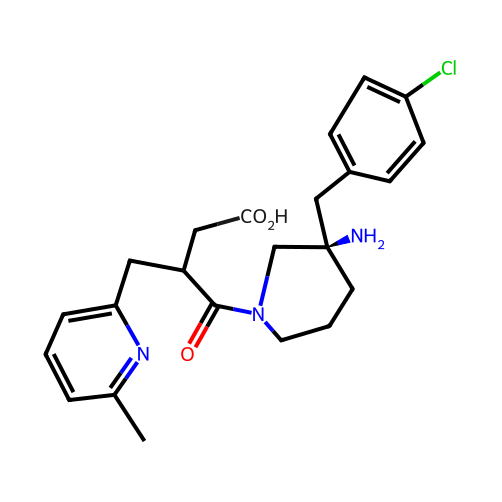 Cc1cccc(CC(CC(=O)O)C(=O)N2CCC[C@@](N)(Cc3ccc(Cl)cc3)C2)n1